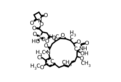 COc1cc2cc(c1Cl)N(C)C(=O)CC(OC(=O)CC(C(=O)ON1C(=O)CCC1=O)S(=O)(=O)O)C1(C)OC1C(C)C1CC(O)(NC(=O)O1)C(OC)/C=C/C=C(\C)C2